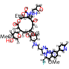 C=NC(CCN(C)[C@@H]1C[C@H](O[C@@H]2[C@@H](C)C([C@H]3C[C@@](C)(OC)[C@@H](O)[C@H](C)O3)[C@@H](C)C(=O)O[C@H](CC)[C@@]3(C)OC(=O)N(NCC4CCOC4)[C@@H]3[C@@H](C)C(=O)[C@H](C)C[C@@]2(C)OC)O[C@H](C)C1)CN(N)[C@H](CF)[C@H](OC)c1ccc(-c2ccc(C)nc2)cc1